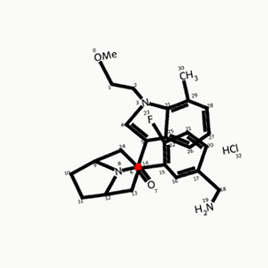 COCCn1cc(C(=O)N2C3CCC2CC(c2cc(CN)ccc2F)C3)c2cccc(C)c21.Cl